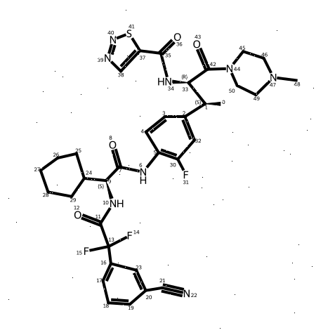 C[C@@H](c1ccc(NC(=O)[C@@H](NC(=O)C(F)(F)c2cccc(C#N)c2)C2CCCCC2)c(F)c1)[C@@H](NC(=O)c1cnns1)C(=O)N1CCN(C)CC1